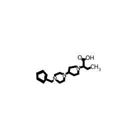 CCC(C(=O)O)N1CCC(N2CCN(Cc3ccccc3)CC2)CC1